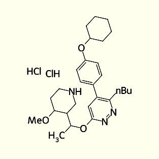 CCCCc1nnc(OC(C)C2CNCCC2OC)cc1-c1ccc(OC2CCCCC2)cc1.Cl.Cl